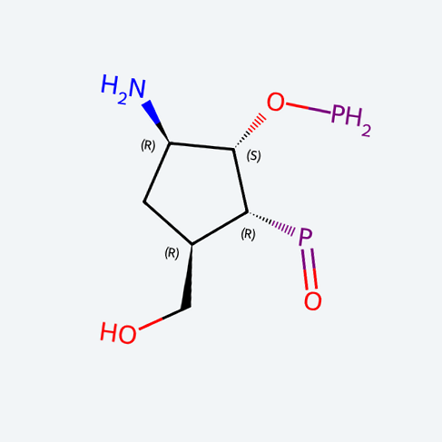 N[C@@H]1C[C@H](CO)[C@@H](P=O)[C@H]1OP